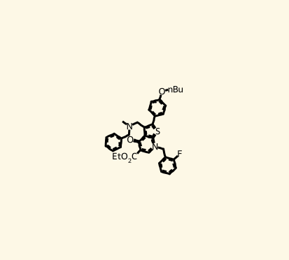 CCCCOc1ccc(-c2sc3c(c2CN(C)Cc2ccccc2)c(=O)c(C(=O)OCC)cn3Cc2ccccc2F)cc1